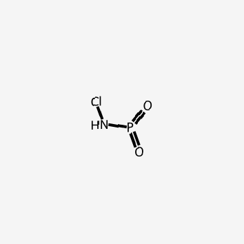 O=P(=O)NCl